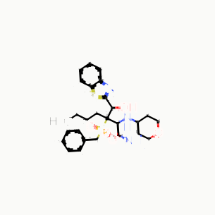 CCCCC(C(NC1CCOCC1)C(N)=O)(C(O)c1nc2ccccc2s1)S(=O)(=O)Cc1ccccc1